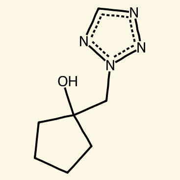 OC1(Cn2ncnn2)CCCC1